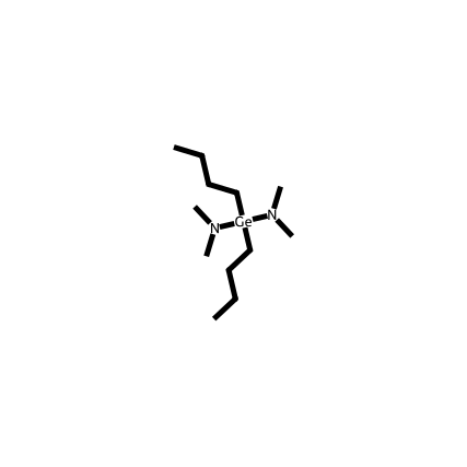 CCC[CH2][Ge]([CH2]CCC)([N](C)C)[N](C)C